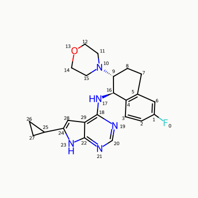 Fc1ccc2c(c1)CC[C@@H](N1CCOCC1)[C@@H]2Nc1ncnc2[nH]c(C3CC3)cc12